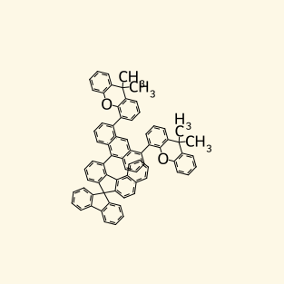 CC1(C)c2ccccc2Oc2c(-c3cccc4c(-c5cccc6c5-c5c(ccc7ccccc57)C65c6ccccc6-c6ccccc65)c5cccc(-c6cccc7c6Oc6ccccc6C7(C)C)c5cc34)cccc21